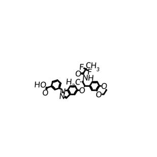 C[C@H](NC(=O)C(C)(F)F)[C@H](Oc1ccc2c(cnn2-c2cccc(C(=O)O)c2)c1)c1ccc2c(c1)OCCO2